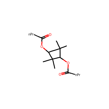 CCCC(=O)OC1C(C)(C)C(OC(=O)CCC)C1(C)C